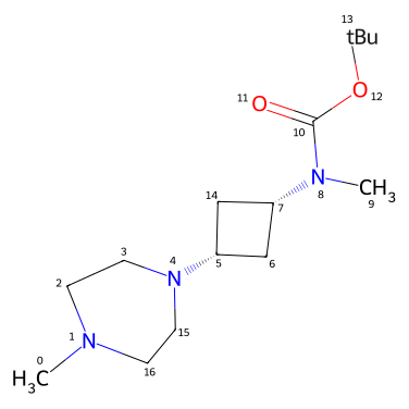 CN1CCN([C@H]2C[C@@H](N(C)C(=O)OC(C)(C)C)C2)CC1